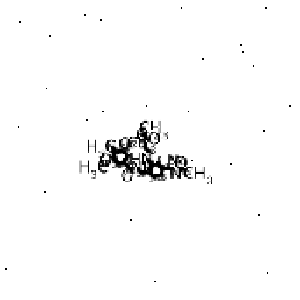 COC(=O)CCNc1cc(-c2noc(C)n2)ccc1CNC(=O)c1cc(OC)c(C)c(OC)c1